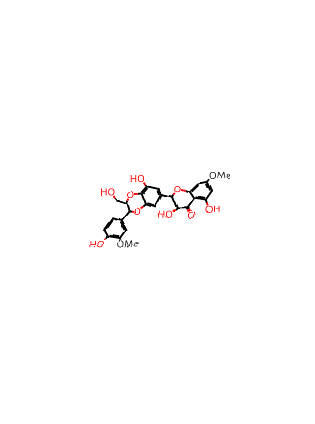 COc1cc(O)c2c(c1)OC(c1cc(O)c3c(c1)OC(c1ccc(O)c(OC)c1)C(CO)O3)C(O)C2=O